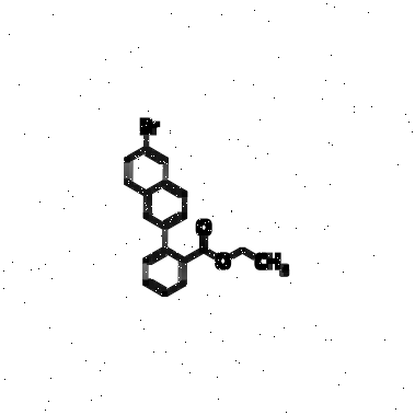 CCOC(=O)c1ccccc1-c1ccc2cc(Br)ccc2c1